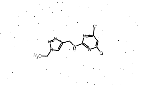 CCn1cc(CNc2nc(Cl)cc(Cl)n2)nn1